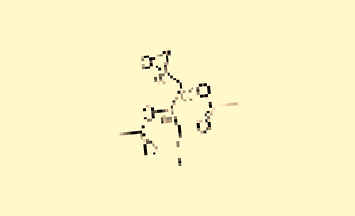 CCC[C@@H](OC(C)=O)[C@@H](OC(C)=O)[C@@H]1CO1